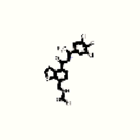 CCC(=O)NCc1ccc(C(=O)/C=C(/c2cc(Cl)c(F)c(Cl)c2)C(F)(F)F)c2c1OCC2